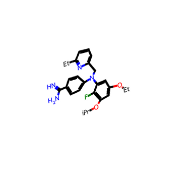 CCOc1cc(OC(C)C)c(F)c(N(Cc2cccc(CC)n2)c2ccc(C(=N)N)cc2)c1